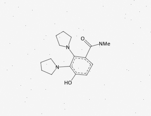 CNC(=O)c1ccc(O)c(N2CCCC2)c1N1CCCC1